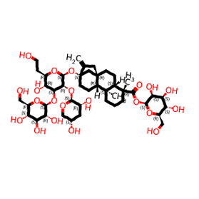 C=C1C[C@@]23CC[C@H]4[C@@](C)(CCC[C@@]4(C)C(=O)O[C@@H]4O[C@H](CO)[C@@H](O)[C@H](O)[C@@H]4O)[C@@H]2CC[C@]1(O[C@@H]1O[C@H](CCO)[C@@H](O)[C@H](O[C@@H]2O[C@H](CO)[C@@H](O)[C@H](O)[C@H]2O)[C@H]1O[C@@H]1OC[C@@H](O)C[C@H]1O)C3